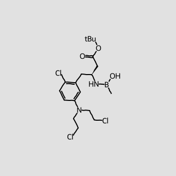 CB(O)N[C@H](CC(=O)OC(C)(C)C)Cc1cc(N(CCCl)CCCl)ccc1Cl